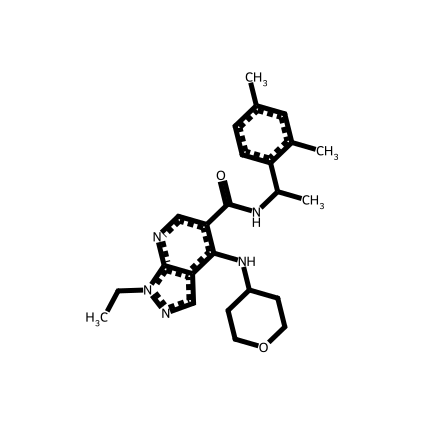 CCn1ncc2c(NC3CCOCC3)c(C(=O)NC(C)c3ccc(C)cc3C)cnc21